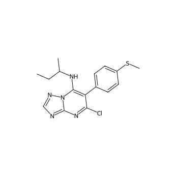 CCC(C)Nc1c(-c2ccc(SC)cc2)c(Cl)nc2ncnn12